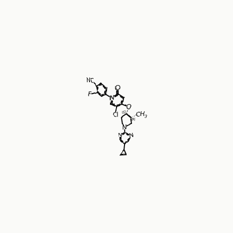 C[C@@H]1CN(c2ncc(C3CC3)cn2)CC[C@@H]1Oc1cc(=O)n(-c2ccc(C#N)c(F)c2)cc1Cl